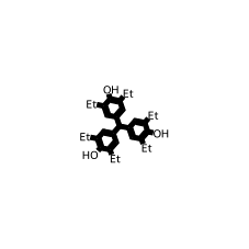 CCc1cc(C(c2cc(CC)c(O)c(CC)c2)c2cc(CC)c(O)c(CC)c2)cc(CC)c1O